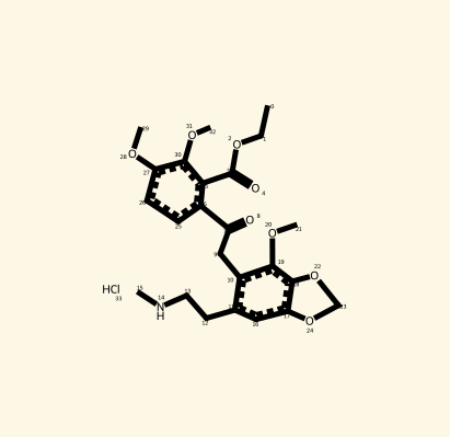 CCOC(=O)c1c(C(=O)Cc2c(CCNC)cc3c(c2OC)OCO3)ccc(OC)c1OC.Cl